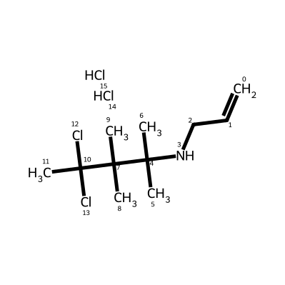 C=CCNC(C)(C)C(C)(C)C(C)(Cl)Cl.Cl.Cl